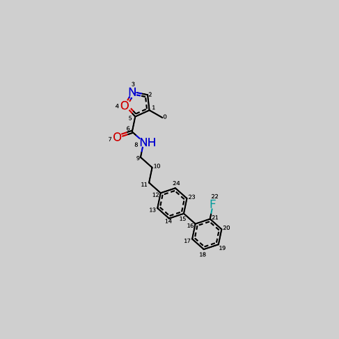 Cc1cnoc1C(=O)NCCCc1ccc(-c2ccccc2F)cc1